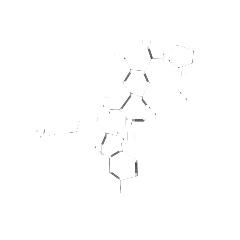 CSCC[C@H](Nc1ncnc2cc(C(=O)N3CCC[C@@H]3CN)c(Cl)cc12)c1nc2cc(Cl)ccc2[nH]1